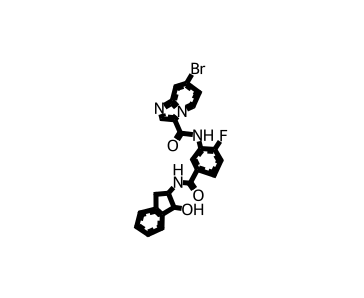 O=C(NC1Cc2ccccc2C1O)c1ccc(F)c(NC(=O)c2cnc3cc(Br)ccn23)c1